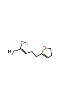 CC(C)=CCCC1=CCCO1